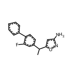 CC(c1ccc(-c2ccccc2)c(F)c1)c1cc(N)no1